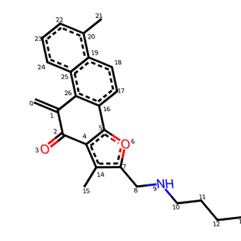 C=C1C(=O)c2c(oc(CNCCCC)c2C)-c2ccc3c(C)cccc3c21